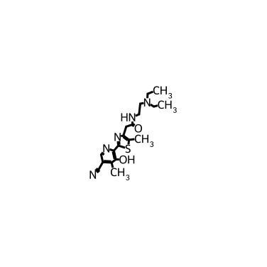 CCN(CC)CCNC(=O)Cc1nc(-c2ncc(C#N)c(C)c2O)sc1C